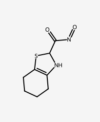 O=NC(=O)C1NC2=C(CCCC2)S1